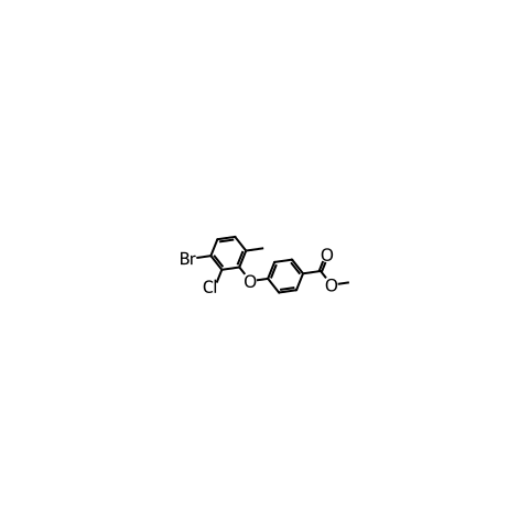 COC(=O)c1ccc(Oc2c(C)ccc(Br)c2Cl)cc1